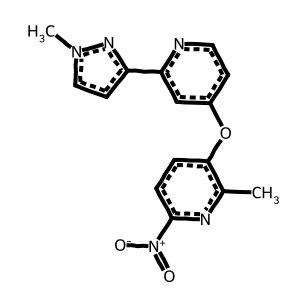 Cc1nc([N+](=O)[O-])ccc1Oc1ccnc(-c2ccn(C)n2)c1